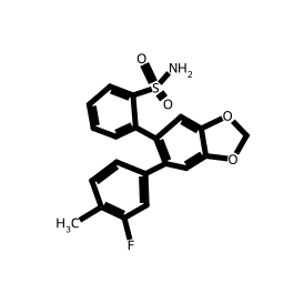 Cc1ccc(-c2cc3c(cc2-c2ccccc2S(N)(=O)=O)OCO3)cc1F